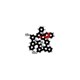 CC(C)(C)c1cc(-c2ccc3c(c2)c2ccccc2n3-c2ccccc2)c2c(c1)c1cc3ccccc3c3c4c5c6cc(C(C)(C)C)cc7c8cc9ccccc9c(-c9ccc%10c(c9)c9ccccc9n%10-c9ccccc9)c8n(c5ncc4n2c13)c76